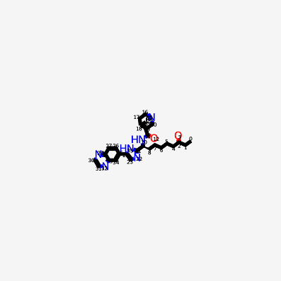 CCC(=O)CCCCC[C@H](NC(=O)C1CN2CCC1CC2)c1ncc(-c2ccc3nccnc3c2)[nH]1